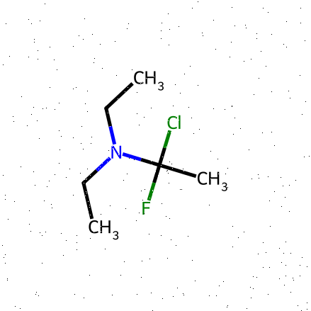 CCN(CC)C(C)(F)Cl